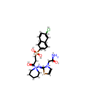 NC(=O)Cn1ccs/c1=N\[N+]1(C(=O)CCS(=O)(=O)c2ccc3cc(Cl)ccc3c2)CCCCC1